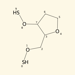 SOCC1OCCC1OS